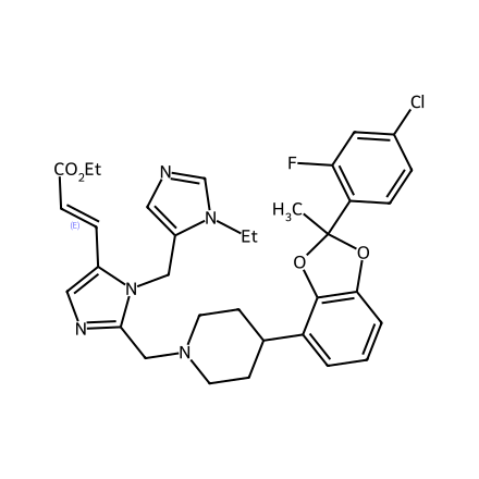 CCOC(=O)/C=C/c1cnc(CN2CCC(c3cccc4c3OC(C)(c3ccc(Cl)cc3F)O4)CC2)n1Cc1cncn1CC